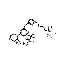 CC1COCCN1c1cc(C2(S(C)(=O)=O)CC2)nc(Sc2ccn(COCC[Si](C)(C)C)n2)n1